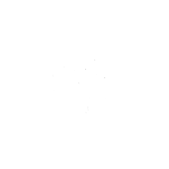 Cc1cccc2c1-c1c(I)cccc1C2(C)C